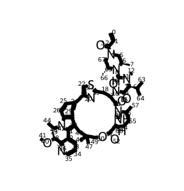 C=CC(=O)N1C[C@@H](C)N(C(=O)N(C)[C@H](C(=O)N[C@H]2Cc3nc(cs3)-c3ccc4c(c3)c(c(-c3cccnc3[C@H](C)OC)n4CC)CC(C)(C)COC(=O)[C@@H]3CCC(C)N(N3)C2=O)C(C)C)[C@H](C)C1